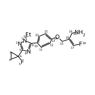 CCn1nc(C2(F)CC2)nc1-c1ccc(OC/C(=C/F)CN)cc1